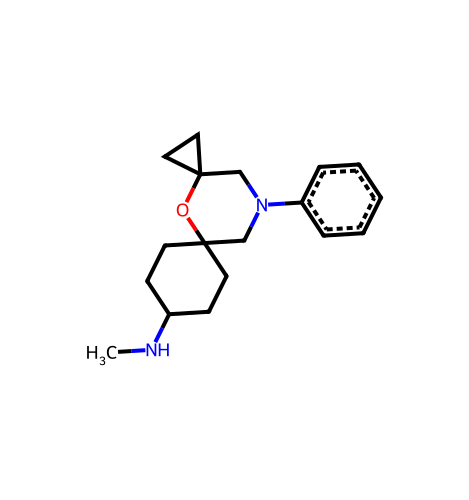 CNC1CCC2(CC1)CN(c1ccccc1)CC1(CC1)O2